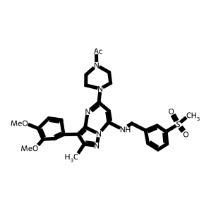 COc1ccc(-c2c(C)nn3c(NCc4cccc(S(C)(=O)=O)c4)cc(N4CCN(C(C)=O)CC4)nc23)cc1OC